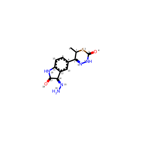 CC1SC(=O)NN=C1c1ccc2c(c1)C(=NN)C(=O)N2